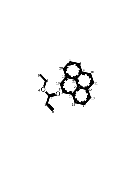 C=CC(=O)OCC.c1cc2ccc3cccc4ccc(c1)c2c34